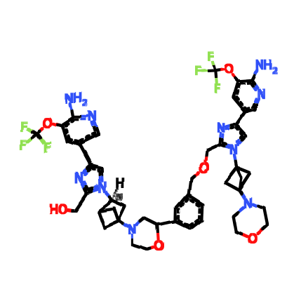 Nc1ncc(-c2cn([C@H]3CC4(N5CCOC(c6cccc(COCc7nc(-c8cnc(N)c(OC(F)(F)F)c8)cn7C78CC(N9CCOCC9)(C7)C8)c6)C5)CC3C4)c(CO)n2)cc1OC(F)(F)F